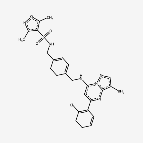 Bc1cnn2c(NCC3=CC=C(CNS(=O)(=O)c4c(C)noc4C)CC3)cc(C3=C(Cl)CCC=C3)nc12